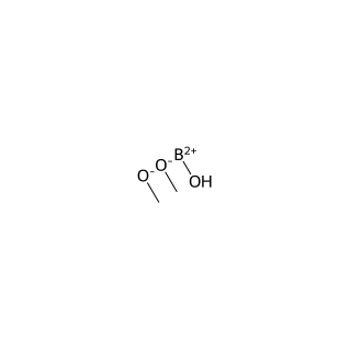 C[O-].C[O-].[B+2]O